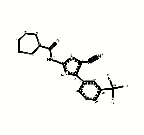 N#Cc1sc(NC(=O)C2CCCCC2)nc1-c1cccc(C(F)(F)F)c1